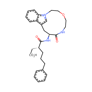 O=C(O)C[C@@H](CCCc1ccccc1)C(=O)N[C@H]1Cc2cn(c3ccccc23)CCOCCNC1=O